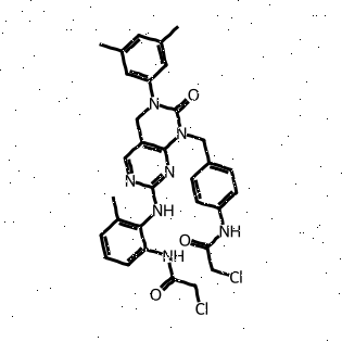 Cc1cc(C)cc(N2Cc3cnc(Nc4c(C)cccc4NC(=O)CCl)nc3N(Cc3ccc(NC(=O)CCl)cc3)C2=O)c1